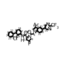 CC(=O)c1cn(CC(=O)N2C[C@H](F)C[C@H]2C(=O)Nc2cccc(-c3ccccc3Cl)c2F)c2ccc(-c3cnc(C(F)(F)F)nc3)cc12